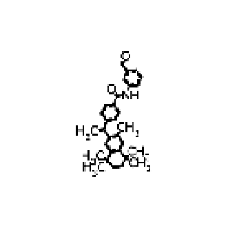 C=C(c1ccc(C(=O)Nc2cccc(C=O)c2)cc1)c1cc2c(cc1C)C(C)(C)CCC2(C)C